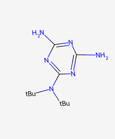 CC(C)(C)N(c1nc(N)nc(N)n1)C(C)(C)C